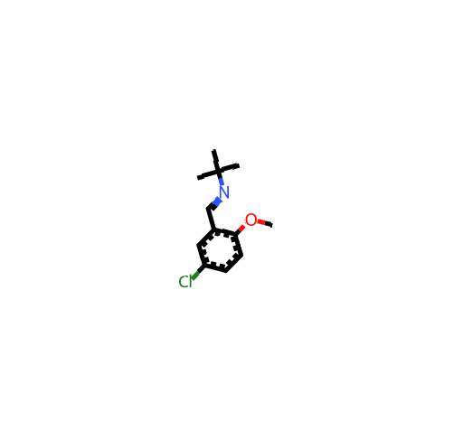 COc1ccc(Cl)cc1C=NC(C)(C)C